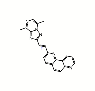 Cc1ncc(C)n2nc(/C=C/c3ccc4ccc5ncccc5c4n3)nc12